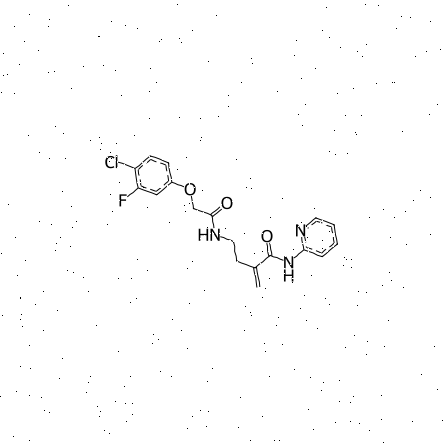 C=C(CCNC(=O)COc1ccc(Cl)c(F)c1)C(=O)Nc1ccccn1